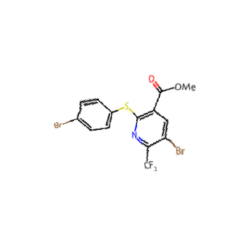 COC(=O)c1cc(Br)c(C(F)(F)F)nc1Sc1ccc(Br)cc1